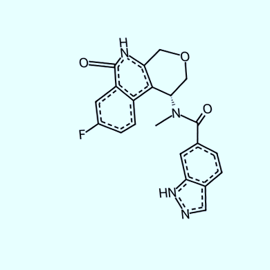 CN(C(=O)c1ccc2cn[nH]c2c1)[C@H]1COCc2[nH]c(=O)c3cc(F)ccc3c21